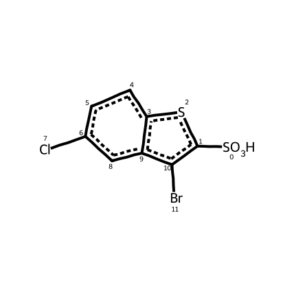 O=S(=O)(O)c1sc2ccc(Cl)cc2c1Br